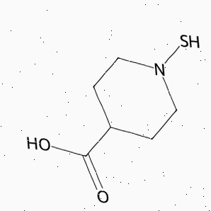 O=C(O)C1CCN(S)CC1